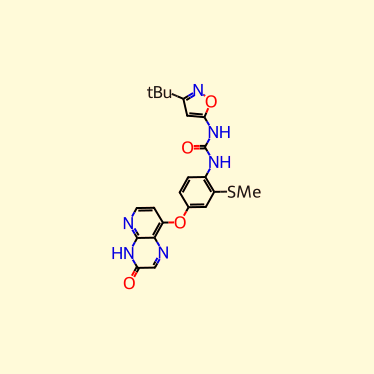 CSc1cc(Oc2ccnc3[nH]c(=O)cnc23)ccc1NC(=O)Nc1cc(C(C)(C)C)no1